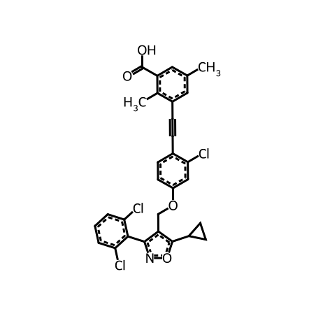 Cc1cc(C#Cc2ccc(OCc3c(-c4c(Cl)cccc4Cl)noc3C3CC3)cc2Cl)c(C)c(C(=O)O)c1